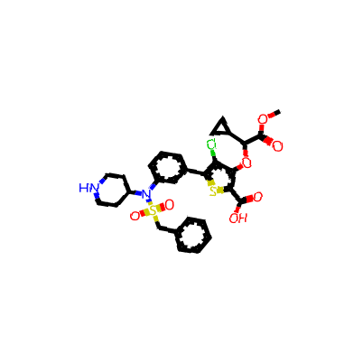 COC(=O)C(Oc1c(C(=O)O)sc(-c2cccc(N(C3CCNCC3)S(=O)(=O)Cc3ccccc3)c2)c1Cl)C1CC1